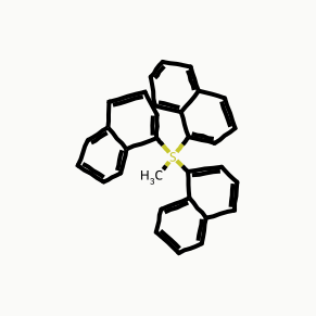 CS(c1cccc2ccccc12)(c1cccc2ccccc12)c1cccc2ccccc12